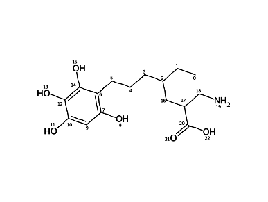 CCC(CCCc1c(O)cc(O)c(O)c1O)CC(CN)C(=O)O